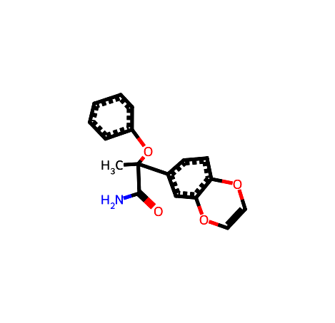 CC(Oc1ccccc1)(C(N)=O)c1ccc2c(c1)OC=CO2